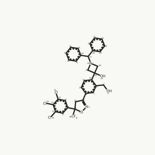 OCc1cc(C2=NOC(c3cc(Cl)c(Cl)c(Cl)c3)(C(F)(F)F)C2)ccc1C1(O)CN(C(c2ccccc2)c2ccccc2)C1